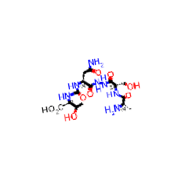 CC(O)[C@H](NC(=O)N[C@@H](CC(N)=O)C(=O)NNC(=O)[C@H](CO)NC(=O)[C@H](C)N)C(=O)O